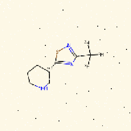 [2H]C([2H])([2H])c1nsc([C@H]2CCCNC2)n1